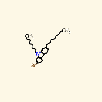 CCCCCCCCc1ccc2c3ccc(Br)cc3n(CCCCCCCC)c2c1